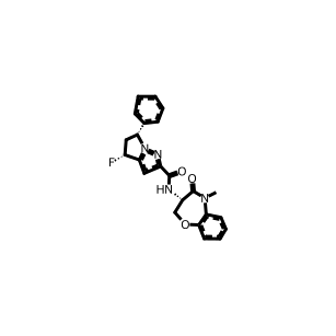 CN1C(=O)[C@@H](NC(=O)c2cc3n(n2)[C@@H](c2ccccc2)C[C@H]3F)COc2ccccc21